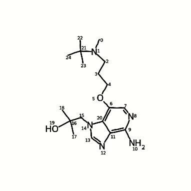 CN(CCCOc1cnc(N)c2ncn(CC(C)(C)O)c12)C(C)(C)C